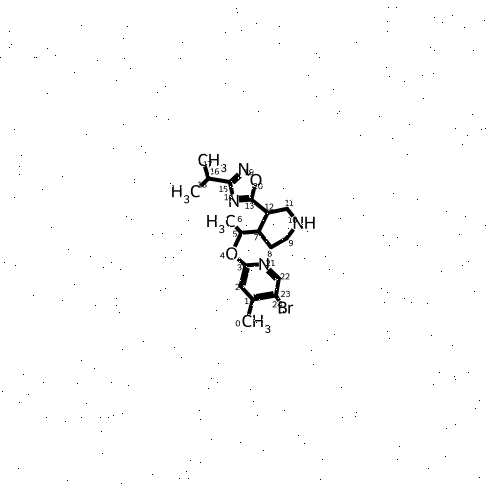 Cc1cc(OC(C)C2CCNCC2c2nc(C(C)C)no2)ncc1Br